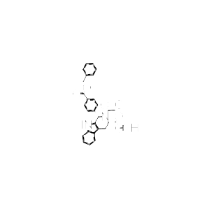 COC(=O)[C@H]1Cc2c([nH]c3ccccc23)[C@@H](c2ccc(C(=O)OCc3ccccc3)cc2)N1C(=O)CCl